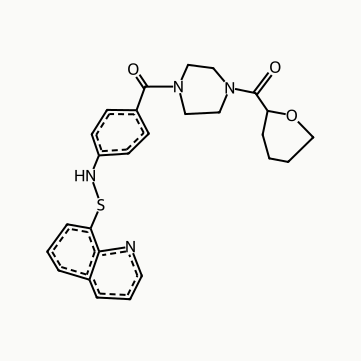 O=C(c1ccc(NSc2cccc3cccnc23)cc1)N1CCN(C(=O)C2CCCCO2)CC1